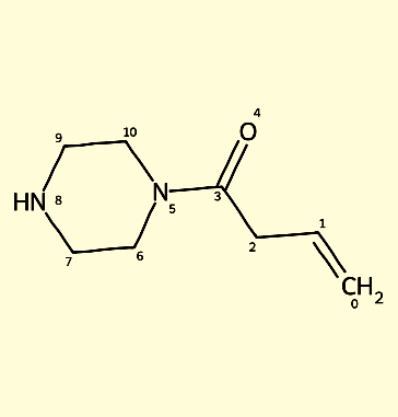 C=CCC(=O)N1CCNCC1